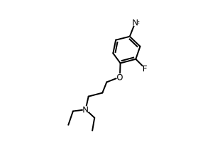 CCN(CC)CCCOc1ccc([N])cc1F